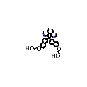 C=CC1=C(/C=C\C)C(c2ccc3cc(OCCO)ccc3c2)(c2ccc3cc(OCCO)ccc3c2)C(/C=C\C)=C1C=C